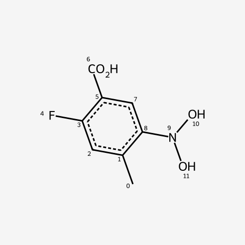 Cc1cc(F)c(C(=O)O)cc1N(O)O